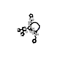 O=C(N[C@H]1CCCCC/C=C\C2C[C@@]2(C(=O)NCCc2ccccc2)NC(=O)[C@@H]2C[C@@H](n3ncc(-c4ccsc4)c(-c4ccsc4)c3=O)CN2C1=O)OC1CCCC1